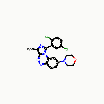 Cc1nc(-c2cc(Cl)ccc2Cl)n2c1nnc1ccc(N3CCOCC3)cc12